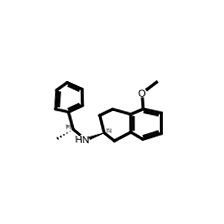 COc1cccc2c1CC[C@H](N[C@H](C)c1ccccc1)C2